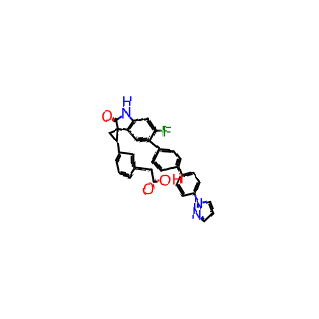 O=C(O)Cc1cccc(C2CC23C(=O)Nc2cc(F)c(-c4ccc(-c5ccc(-n6cccn6)cc5)cc4)cc23)c1